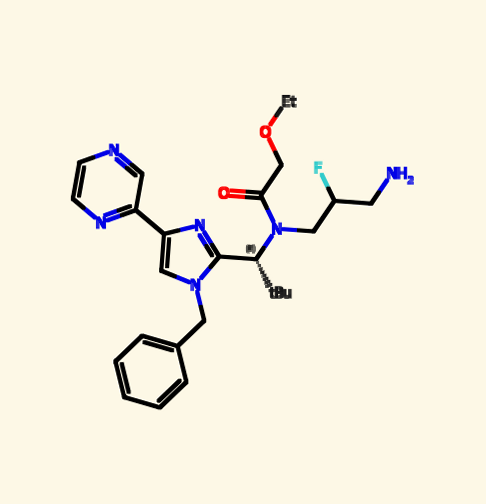 CCOCC(=O)N(CC(F)CN)[C@@H](c1nc(-c2cnccn2)cn1Cc1ccccc1)C(C)(C)C